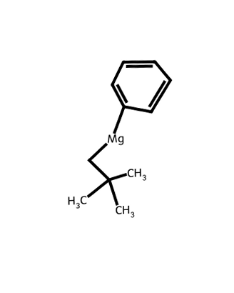 CC(C)(C)[CH2][Mg][c]1ccccc1